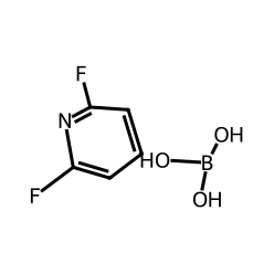 Fc1cccc(F)n1.OB(O)O